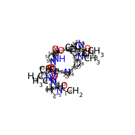 C=CC(=O)N1CCC[C@H]2CN(C(=O)N(C)C(C(=O)N[C@H]3Cc4nc(cs4)-c4ccc5c(c4)c(c(-c4cccnc4[C@H](C)OC)n5CC)CC(C)(C)COC(=O)[C@@H]4CCCN(N4)C3=O)C(C)C)C[C@@H]21